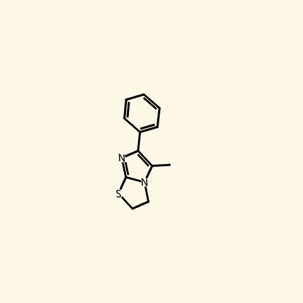 Cc1c(-c2ccccc2)nc2n1CCS2